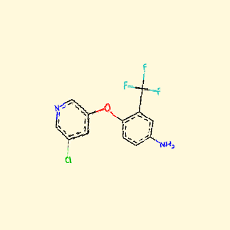 Nc1ccc(Oc2cncc(Cl)c2)c(C(F)(F)F)c1